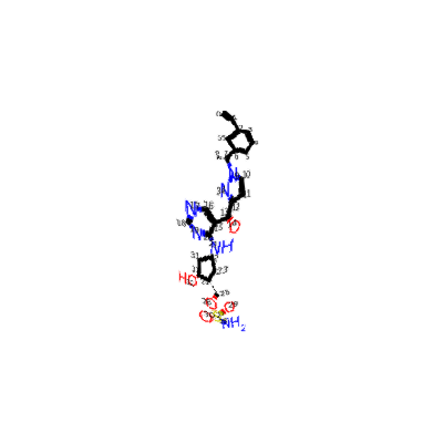 C#Cc1cccc([C@@H](C)n2ccc(C(=O)c3cncnc3N[C@@H]3C[C@H](COS(N)(=O)=O)[C@@H](O)C3)n2)c1